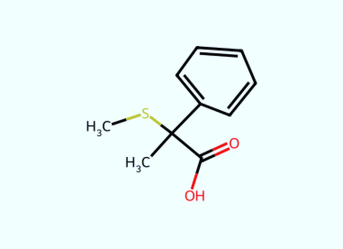 CSC(C)(C(=O)O)c1ccccc1